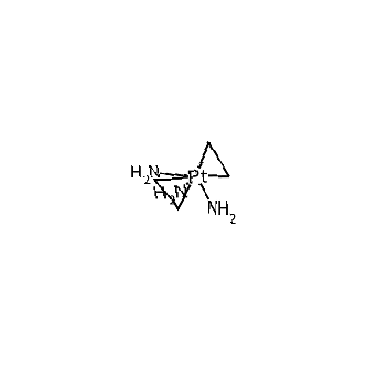 [NH2][Pt]12([NH2])([NH2])([CH2][CH2]1)[CH2][CH2]2